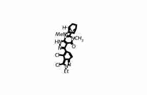 CCn1nc2ccc(-c3n[nH]c4nc(N5C6CC[C@@H]5[C@H](NC)C6)n(C)c(=O)c34)c(Cl)c2c1Cl